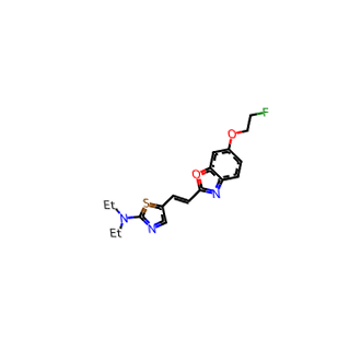 CCN(CC)c1ncc(C=Cc2nc3ccc(OCCF)cc3o2)s1